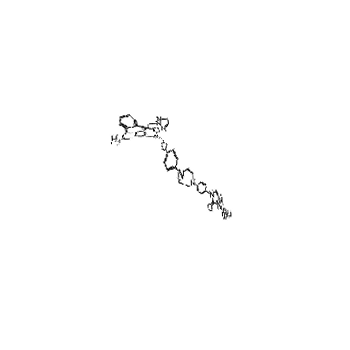 CCC(C)n1ncn(-c2ccc(N3CCN(c4ccc(OC[C@@H]5CO[C@@](Cn6nccn6)(c6ccccc6C)O5)cc4)CC3)cc2)c1=O